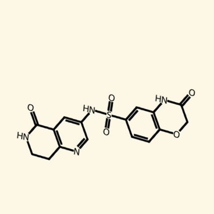 O=C1COc2ccc(S(=O)(=O)Nc3cnc4c(c3)C(=O)NCC4)cc2N1